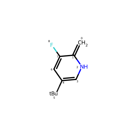 C=C1NC=C(C(C)(C)C)C=C1F